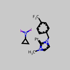 Cn1ccn(Cc2ccc(C(F)(F)F)cc2)[c]1=[Pt].IN(I)C1CC1